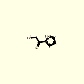 O=C(CBr)c1ccc[nH]1